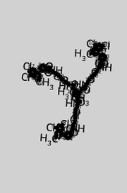 CN1Cc2c(Cl)cc(Cl)cc2[C@H](c2cccc(S(=O)(=O)NCCOCCOCCNC(=O)CCC(CCC(=O)NCCOCCOCCNS(=O)(=O)c3cccc([C@@H]4CN(C)Cc5c(Cl)cc(Cl)cc54)c3)(CCC(=O)NCCOCCOCCNS(=O)(=O)c3cccc([C@@H]4CN(C)Cc5c(Cl)cc(Cl)cc54)c3)N(C)C)c2)C1